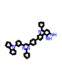 N=C1C=Cc2c(-c3ccccc3)nc3cc(-c4ccc(-c5cc(-c6cccc(-n7c8ccccc8c8ccccc87)c6)nc(-c6ccccc6)n5)cc4)ccc3c2C1=N